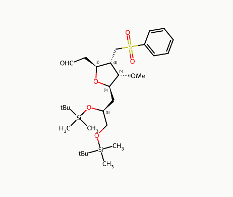 CO[C@H]1[C@@H](CS(=O)(=O)c2ccccc2)[C@H](CC=O)O[C@@H]1C[C@@H](CO[Si](C)(C)C(C)(C)C)O[Si](C)(C)C(C)(C)C